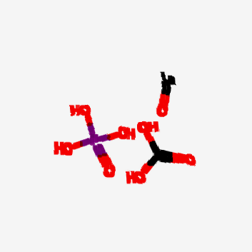 O=C(O)O.O=P(O)(O)O.[O]=[La]